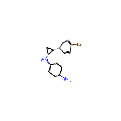 NC1CCC(N[C@H]2C[C@@H]2C2C=CC(Br)=CC2)CC1